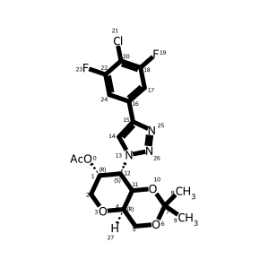 CC(=O)O[C@H]1CO[C@@H]2COC(C)(C)OC2[C@H]1n1cc(-c2cc(F)c(Cl)c(F)c2)nn1